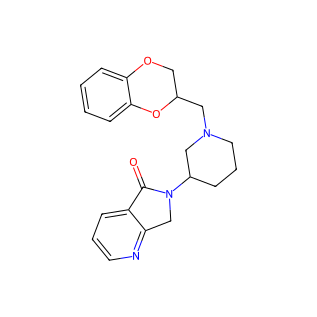 O=C1c2cccnc2CN1C1CCCN(CC2COc3ccccc3O2)C1